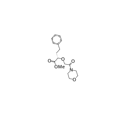 COC(=O)[C@H](CCc1ccccc1)OCC(=O)N1CCOCC1